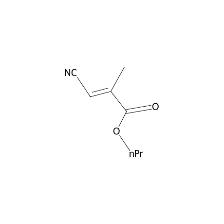 CCCOC(=O)C(C)=CC#N